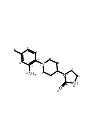 Cc1ccc(N2CCC(N3CCNC3=O)CC2)c(N)c1